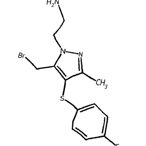 Cc1nn(CCN)c(CBr)c1Sc1ccc(F)cc1